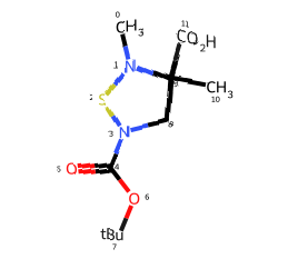 CN1SN(C(=O)OC(C)(C)C)CC1(C)C(=O)O